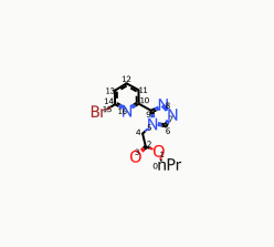 CCCOC(=O)Cn1cnnc1-c1cccc(Br)n1